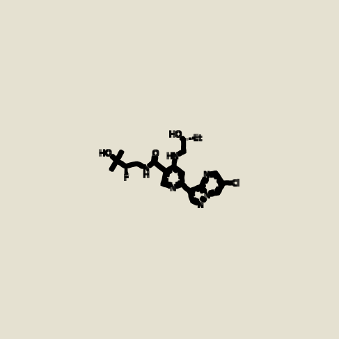 CC[C@@H](O)CNc1cc(-c2cnn3cc(Cl)cnc23)ncc1C(=O)NC[C@@H](F)C(C)(C)O